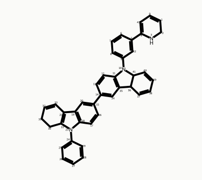 C1=CCNC(c2cccc(N3c4ccc(-c5ccc6c(c5)c5c(n6-c6ccccc6)CCC=C5)cc4C4C=CC=CC43)c2)=C1